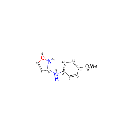 COc1ccc(Nc2ccon2)cc1